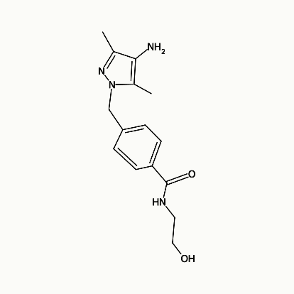 Cc1nn(Cc2ccc(C(=O)NCCO)cc2)c(C)c1N